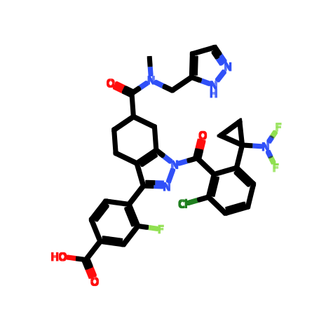 CN(Cc1ccn[nH]1)C(=O)C1CCc2c(-c3ccc(C(=O)O)cc3F)nn(C(=O)c3c(Cl)cccc3C3(N(F)F)CC3)c2C1